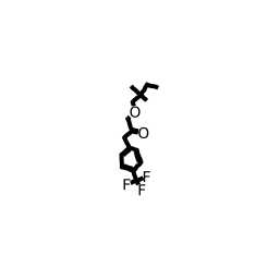 CCC(C)(C)COCC(=O)Cc1ccc(C(F)(F)F)cc1